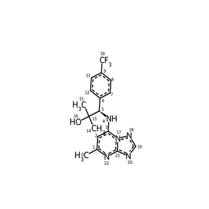 Cc1cc(N[C@H](c2ccc(C(F)(F)F)cc2)C(C)(C)O)n2ncnc2n1